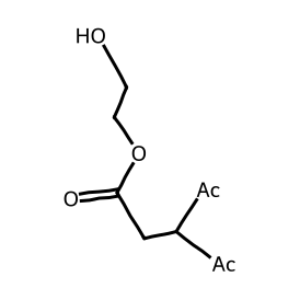 CC(=O)C(CC(=O)OCCO)C(C)=O